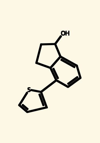 OC1CCc2c(-c3cccs3)cccc21